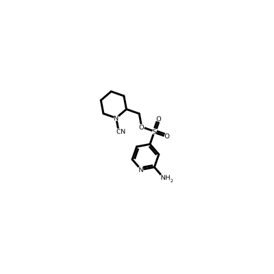 N#CN1CCCCC1COS(=O)(=O)c1ccnc(N)c1